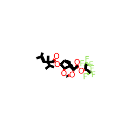 CC(C)=CC(C)(C(=O)OC1C2CC3C1OCOC3(C(=O)OC(C(F)(F)F)C(F)(F)F)C2)C(C)C